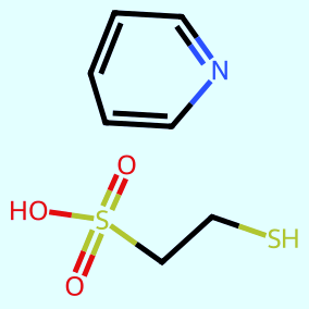 O=S(=O)(O)CCS.c1ccncc1